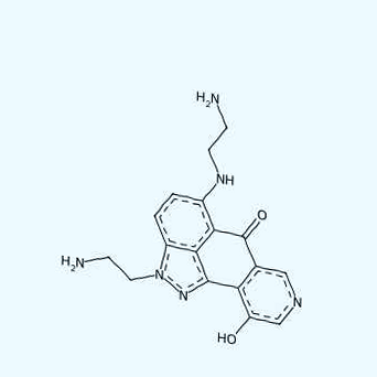 NCCNc1ccc2c3c(nn2CCN)-c2c(O)cncc2C(=O)c13